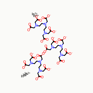 O=C([O-])CN(CCN(CC(=O)[O-])CC(=O)[O-])CCN(CC(=O)[O-])CC(=O)[O-].O=C([O-])CN(CCN(CC(=O)[O-])CC(=O)[O-])CCN(CC(=O)[O-])CC(=O)[O-].O=C([O-])CN(CCN(CC(=O)[O-])CC(=O)[O-])CCN(CC(=O)[O-])CC(=O)[O-].[In+3].[In+3].[In+3].[In+3].[In+3]